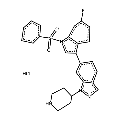 Cl.O=S(=O)(c1ccccc1)n1cc(-c2ccc3cnn(C4CCNCC4)c3c2)c2ccc(F)cc21